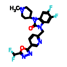 CN1CCC(n2c(=O)n(Cc3ccc(-c4nnc(C(F)F)o4)cn3)c3cc(F)c(F)cc32)CC1